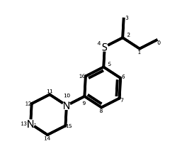 CCC(C)Sc1cccc(N2CC[N]CC2)c1